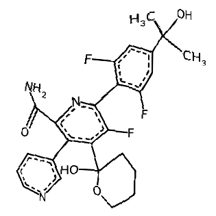 CC(C)(O)c1cc(F)c(-c2nc(C(N)=O)c(-c3cccnc3)c(C3(O)CCCCO3)c2F)c(F)c1